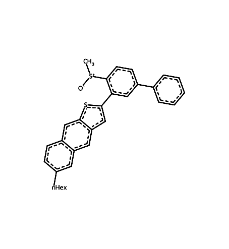 CCCCCCc1ccc2cc3sc(-c4cc(-c5ccccc5)ccc4[S+](C)[O-])cc3cc2c1